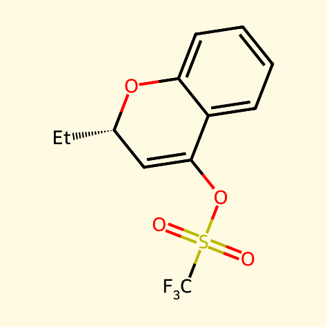 CC[C@H]1C=C(OS(=O)(=O)C(F)(F)F)c2ccccc2O1